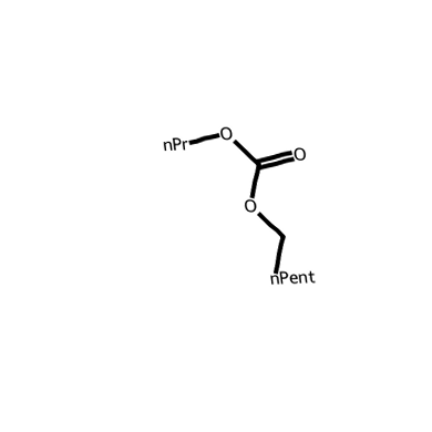 [CH2]CCOC(=O)OCCCCCC